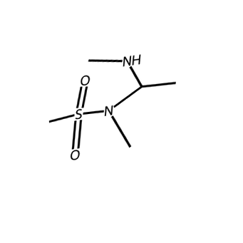 CNC(C)N(C)S(C)(=O)=O